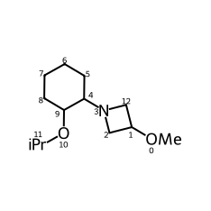 COC1CN(C2CCCCC2OC(C)C)C1